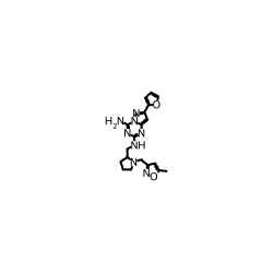 Cc1cc(CN2CCCC2CNc2nc(N)n3nc(-c4ccco4)cc3n2)no1